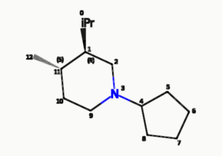 CC(C)[C@H]1CN(C2CCCC2)CC[C@@H]1C